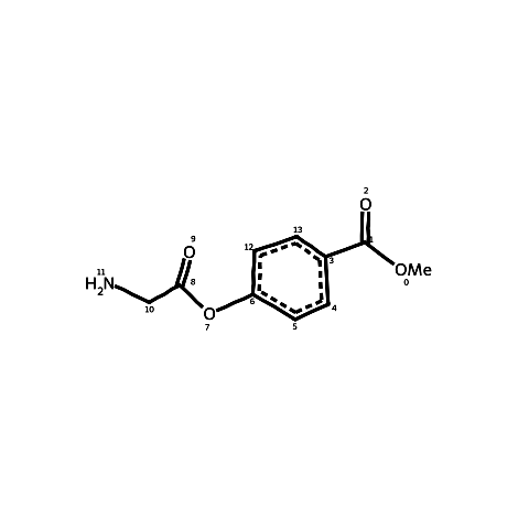 COC(=O)c1ccc(OC(=O)CN)cc1